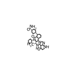 CC(Nc1ncnc2[nH]ccc(=O)c12)c1cc2cccc(-c3ccc(C(N)=O)cc3)c2c(=O)n1-c1ccccc1